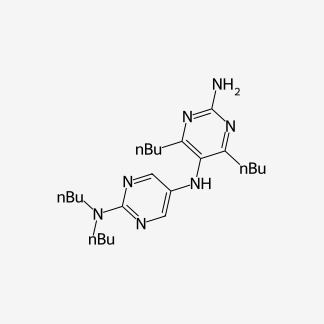 CCCCc1nc(N)nc(CCCC)c1Nc1cnc(N(CCCC)CCCC)nc1